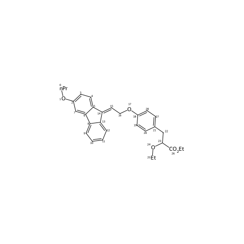 CCCOc1ccc2c(c1)-c1ccccc1C2=CCOc1ccc(CC(OCC)C(=O)OCC)cc1